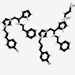 Brc1ccc(/C=C/C[n+]2ccn(CC(OCCc3ccccc3)c3cccs3)c2)cc1.Brc1ccc(/C=C/C[n+]2ccn(CC(OCCc3ccccc3)c3cccs3)c2)cc1.O=C([O-])/C=C/C(=O)[O-]